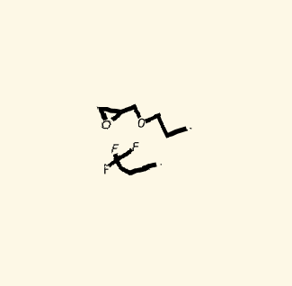 [CH2]CC(F)(F)F.[CH2]CCOCC1CO1